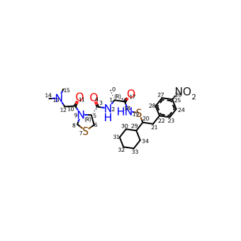 C[C@@H](NC(=O)[C@@H]1CSCN1C(=O)CN(C)C)C(=O)NSC(Cc1ccc([N+](=O)[O-])cc1)C1CCCCC1